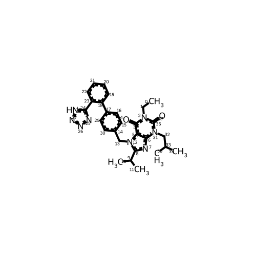 CCn1c(=O)c2c(nc(C(C)C)n2Cc2ccc(-c3ccccc3-c3nnn[nH]3)cc2)n(CC(C)C)c1=O